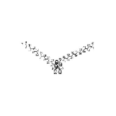 CC(=O)OC(C)=O.CCCCCCCCCCCCCCCCCC(=O)OC(=O)CCCCCCCCCCCCCCCCC